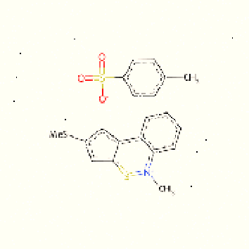 CSc1cc2s[n+](C)c3ccccc3c-2c1.Cc1ccc(S(=O)(=O)[O-])cc1